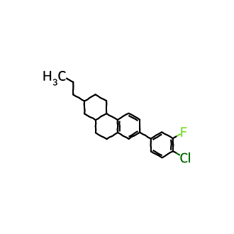 CCCC1CCC2c3ccc(-c4ccc(Cl)c(F)c4)cc3CCC2C1